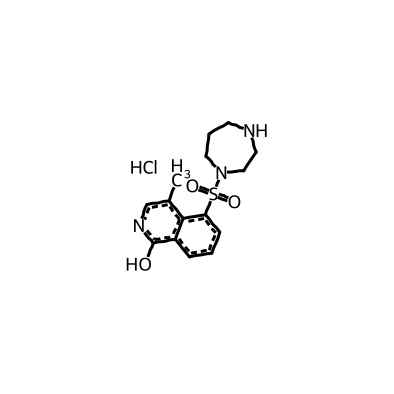 Cc1cnc(O)c2cccc(S(=O)(=O)N3CCCNCC3)c12.Cl